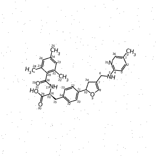 Cc1ccc(NCC2=COC(c3ccc(C[C@H](NC(=O)c4c(C)cc(C)cc4C)C(=O)O)cc3)C2)nc1